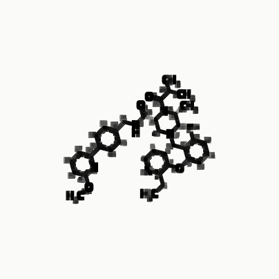 CCc1ncccc1Oc1cccc(F)c1CN1C[C@@H](C)N(C(=O)C(C)C)[C@@H](C(=O)NCc2ccc(-c3cccc(OC)n3)cc2)C1